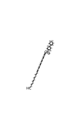 C#CC#CC#CC#CC#CC#CC#CC#CC#CC#CC#COC(=O)c1ccc(-c2ccccc2)cc1